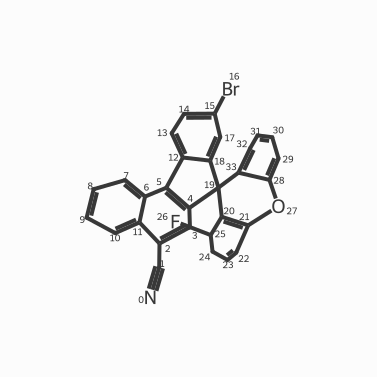 N#Cc1cc2c(c3ccccc13)-c1ccc(Br)cc1C21C2=C(C=CCC2F)Oc2ccccc21